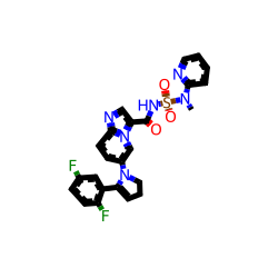 CN(c1ccccn1)S(=O)(=O)NC(=O)c1cnc2ccc(N3CCC=C3c3cc(F)ccc3F)cn12